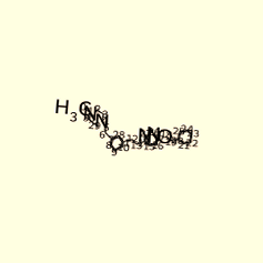 CN1CCN(CCc2cccc(CCc3ccc(OCc4ccccc4)nn3)c2)CC1